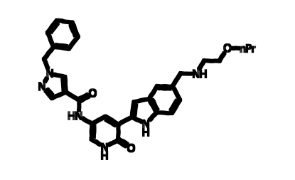 CCCOCCNCc1ccc2[nH]c(-c3cc(NC(=O)c4cnn(Cc5ccccc5)c4)c[nH]c3=O)cc2c1